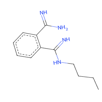 CCCCNC(=N)c1ccccc1C(=N)N